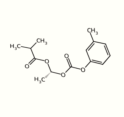 Cc1cccc(OC(=O)O[C@H](C)OC(=O)C(C)C)c1